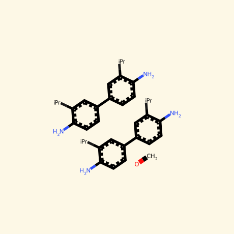 C=O.CC(C)c1cc(-c2ccc(N)c(C(C)C)c2)ccc1N.CC(C)c1cc(-c2ccc(N)c(C(C)C)c2)ccc1N